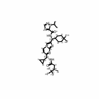 CC(C)n1ncnc1C(=O)N[C@H](c1cn2ccc([C@H](NC(=O)C[C@@H](C)C(F)(F)F)C3CC3)nc2n1)C1CCC(F)(F)CC1